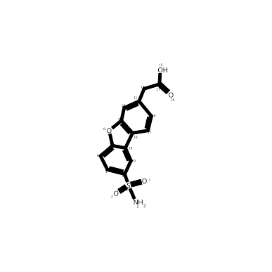 NS(=O)(=O)c1ccc2oc3cc(CC(=O)O)ccc3c2c1